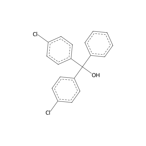 OC(c1ccccc1)(c1ccc(Cl)cc1)c1ccc(Cl)cc1